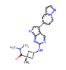 CN(C)C(=O)[C@]1(C)C[C@@H](Nc2ncc3c(-c4ccn5nccc5c4)c[nH]c3n2)C1